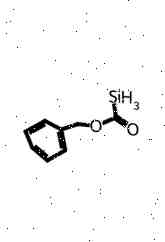 O=C([SiH3])OCc1ccccc1